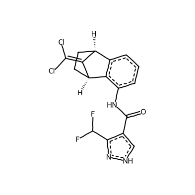 O=C(Nc1cccc2c1[C@H]1CC[C@@H]2C1=C(Cl)Cl)c1c[nH]nc1C(F)F